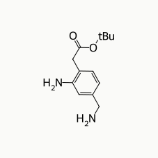 CC(C)(C)OC(=O)Cc1ccc(CN)cc1N